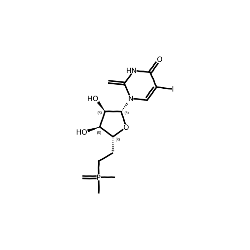 C=C1NC(=O)C(I)=CN1[C@@H]1O[C@H](CCP(=C)(C)C)[C@@H](O)[C@H]1O